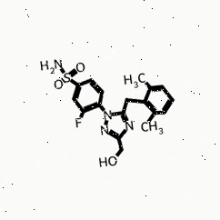 Cc1cccc(C)c1Cc1nc(CO)nn1-c1ccc(S(N)(=O)=O)cc1F